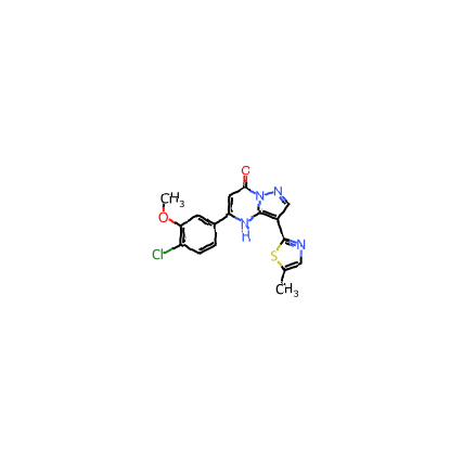 COc1cc(-c2cc(=O)n3ncc(-c4ncc(C)s4)c3[nH]2)ccc1Cl